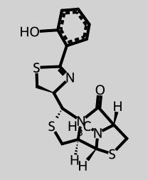 CN1[C@@H]2SC[C@H]1C(=O)N1[C@@H]2CS[C@@H]1[C@H]1CSC(c2ccccc2O)=N1